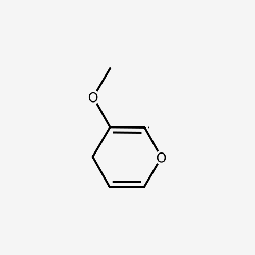 COC1=[C]OC=CC1